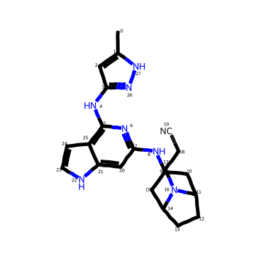 Cc1cc(Nc2nc(NC3CC4CCC(C3)N4CCC#N)cc3[nH]ccc23)n[nH]1